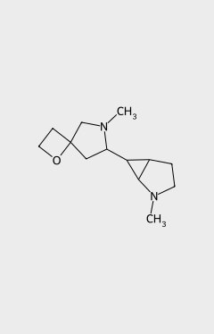 CN1CC2(CCO2)CC1C1C2CCN(C)C21